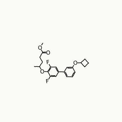 COC(=O)CCC(C)Oc1c(F)cc(-c2cccc(OC3CCC3)c2)cc1F